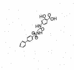 O=C(CNS(=O)(=O)c1ccc(-c2ccccc2)cc1)Nc1ccc(C(=O)O)c(O)c1